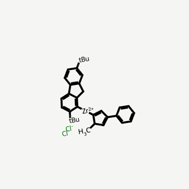 CC1C=C(c2ccccc2)C=[C]1[Zr+2][c]1c(C(C)(C)C)ccc2c1Cc1cc(C(C)(C)C)ccc1-2.[Cl-].[Cl-]